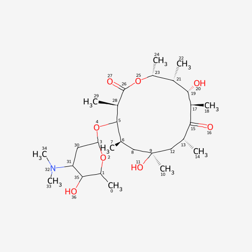 CC1OC(OC2[C@H](C)C[C@](C)(O)C[C@@H](C)C(=O)[C@H](C)[C@@H](O)[C@@H](C)[C@@H](C)OC(=O)[C@@H]2C)CC(N(C)C)C1O